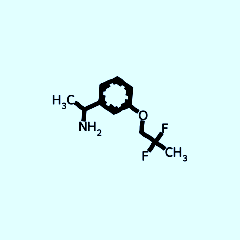 CC(N)c1cccc(OCC(C)(F)F)c1